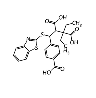 CCC(CC)(C(=O)O)C(C(=O)O)C(Sc1nc2ccccc2s1)c1ccc(C(=O)O)cc1